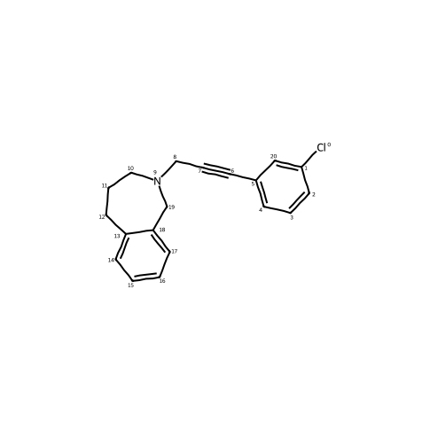 Clc1cccc(C#CCN2CCCc3ccccc3C2)c1